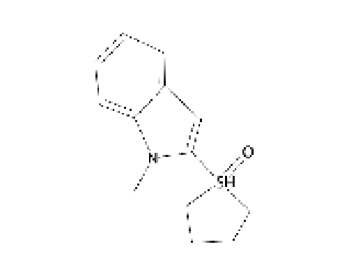 Cn1c([SH]2(=O)CCCC2)cc2ccccc21